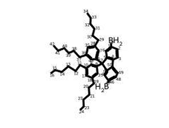 Bc1ccc2c(c1)C(c1cc(CCCCCC)cc(CCCCCC)c1)(c1cc(CCCCCC)cc(CCCCCC)c1)c1cc(B)ccc1-2